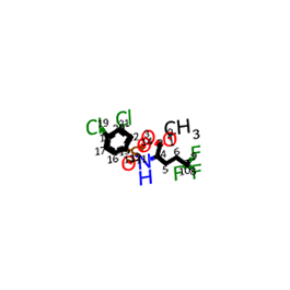 COC(=O)C(CCC(F)(F)F)NS(=O)(=O)c1ccc(Cl)c(Cl)c1